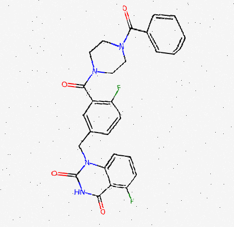 O=C(c1ccccc1)N1CCN(C(=O)c2cc(Cn3c(=O)[nH]c(=O)c4c(F)cccc43)ccc2F)CC1